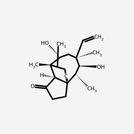 C=C[C@]1(C)C[C@@H](O)[C@]2(C)C(C)CC[C@]3(CCC(=O)[C@H]32)[C@@H](C)[C@@H]1O